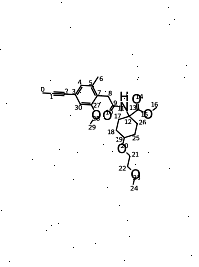 CC#Cc1cc(C)c(CC(=O)NC2(C(=O)OC)CCC(OCCOC)CC2)c(OC)c1